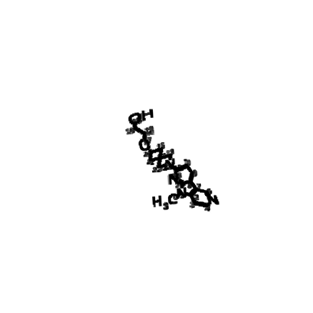 Cn1c2ccncc2c2ccc(N3CC4(CC(OCCO)C4)C3)nc21